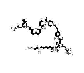 CSCC(=O)NCCCCCC(=O)N[C@H](C(=O)N[C@@H](CCCNC(N)=O)C(=O)Nc1ccc(COC(=O)N2CCN(C(=O)O[C@@H](C)/C=C\C(=O)N[C@@H]3C[C@H](C)[C@H](C/C=C(C)/C=C/[C@@H]4C[C@]5(CO5)C[C@@H](CC(N)=O)O4)O[C@@H]3C)CC2)cc1)C(C)C